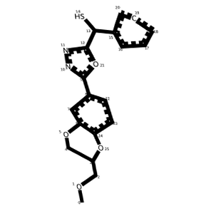 COCC1COc2cc(-c3nnc(C(S)c4ccccc4)o3)ccc2O1